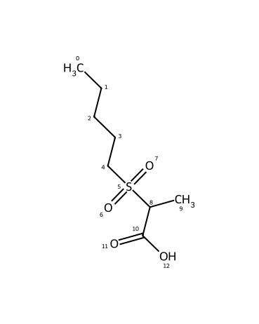 CCCCCS(=O)(=O)C(C)C(=O)O